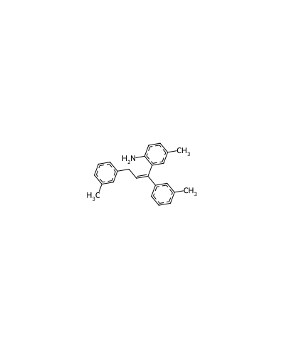 Cc1cccc(CC=C(c2cccc(C)c2)c2cc(C)ccc2N)c1